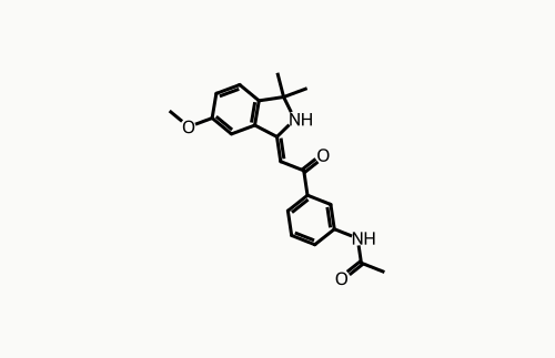 COc1ccc2c(c1)/C(=C/C(=O)c1cccc(NC(C)=O)c1)NC2(C)C